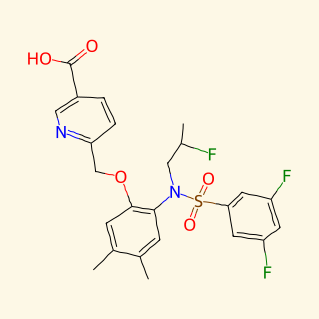 Cc1cc(OCc2ccc(C(=O)O)cn2)c(N(CC(C)F)S(=O)(=O)c2cc(F)cc(F)c2)cc1C